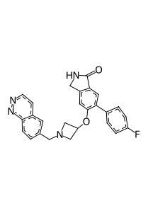 O=C1NCc2cc(OC3CN(Cc4ccc5nnccc5c4)C3)c(-c3ccc(F)cc3)cc21